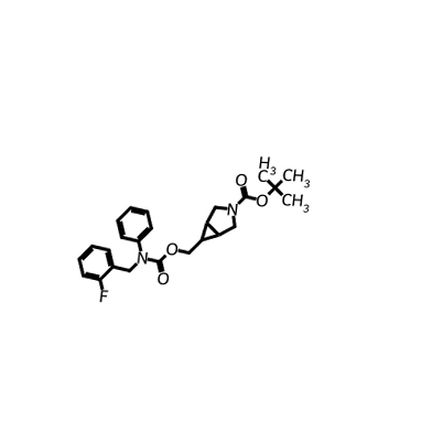 CC(C)(C)OC(=O)N1CC2C(COC(=O)N(Cc3ccccc3F)c3ccccc3)C2C1